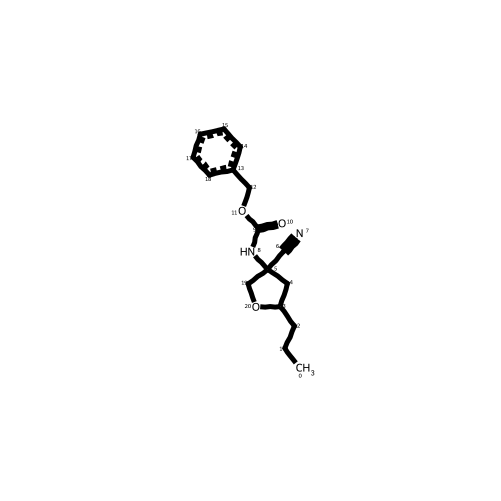 CCCC1CC(C#N)(NC(=O)OCc2ccccc2)CO1